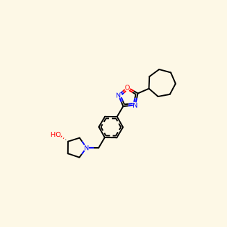 O[C@H]1CCN(Cc2ccc(-c3noc(C4CCCCCC4)n3)cc2)C1